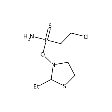 CCC1SCCN1OP(N)(=S)CCCl